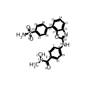 CN(C)C(=O)c1ccc(Nc2nc3cccc(-c4ccc(S(N)(=O)=O)cc4)c3o2)cc1